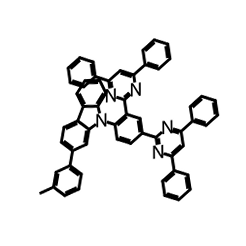 Cc1cccc(-c2ccc3c4ccccc4n(-c4ccc(-c5nc(-c6ccccc6)cc(-c6ccccc6)n5)cc4-c4nc(-c5ccccc5)cc(-c5ccccc5)n4)c3c2)c1